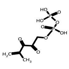 C=C(C)C(=O)C(=O)COP(=O)(O)OP(=O)(O)O